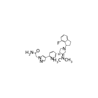 CN(C)[C@@H]1CN(C2CCc3cccc(F)c32)C[C@H]1c1ccc(-c2cnn(CC(N)=O)c2)nc1